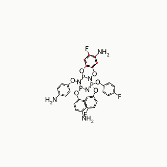 Nc1ccc(ON2P(Oc3ccc(N)cc3)N=P(Oc3ccc(F)cc3)(Oc3ccc(F)cc3)N(Oc3ccc(F)cc3)P2Oc2ccc(N)cc2)cc1